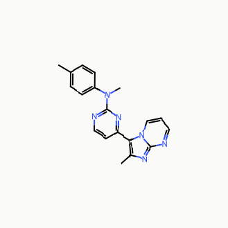 Cc1ccc(N(C)c2nccc(-c3c(C)nc4ncccn34)n2)cc1